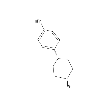 CCCc1ccc([C@H]2CC[C@H](CC)CC2)cc1